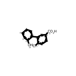 O=C(O)c1ccc(Cl)c(-c2ccccc2O)c1